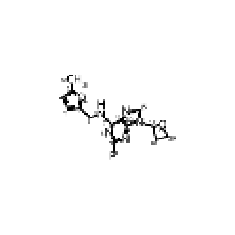 Cc1ccc(CNc2nc(F)nc3c2ncn3C2CCO2)o1